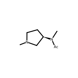 CC(=O)N(C)[C@@H]1CCN(C)C1